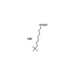 Br.CCCCCCCCCCCCCC[P](C)(C)C